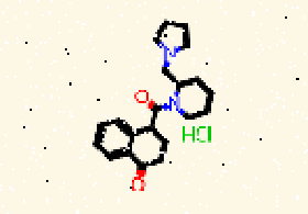 Cl.O=C1CCC(C(=O)N2CCCCC2CN2CCCC2)c2ccccc21